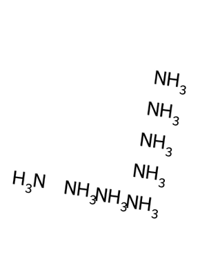 N.N.N.N.N.N.N.N